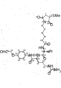 CSC1CC(=O)N(CCCCCC(=O)N[C@H](C(=O)N[C@@H](CCCNC(N)=O)C(=O)Nc2ccc(OCC=O)cc2)C(C)C)C1=O